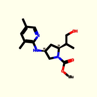 Cc1cnc(N[C@H]2C[C@@H](C(C)CO)N(C(=O)OC(C)(C)C)C2)c(C)c1